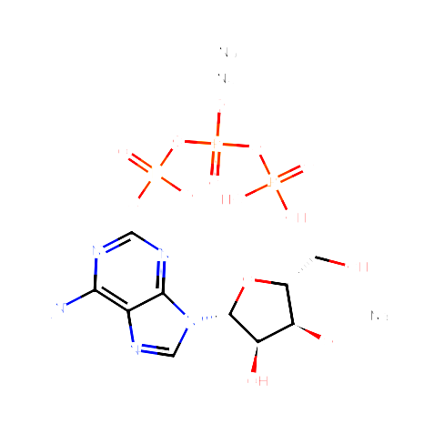 Nc1ncnc2c1ncn2[C@@H]1O[C@H](CO)[C@@H](O)[C@H]1O.O=P([O-])([O-])OP(=O)([O-])OP(=O)(O)O.[Na+].[Na+].[Na+]